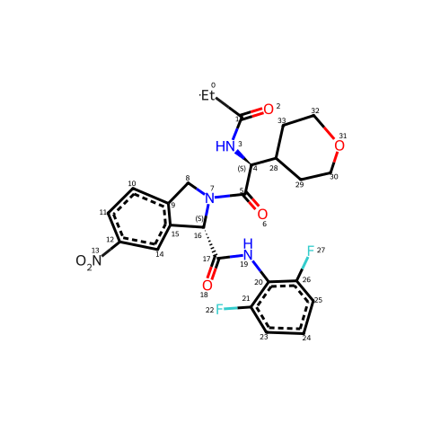 C[CH]C(=O)N[C@H](C(=O)N1Cc2ccc([N+](=O)[O-])cc2[C@H]1C(=O)Nc1c(F)cccc1F)C1CCOCC1